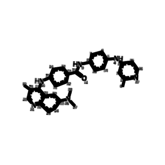 Cc1cc(Nc2ccc(NC(=O)c3ccc(Nc4c(C)cnc5ccc(N(C)C)cc45)cc3)cc2)ccn1